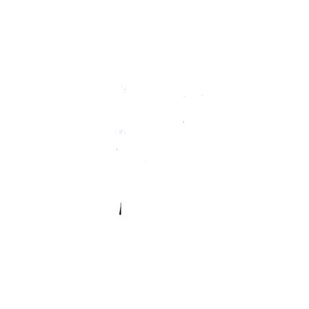 CC(=O)O[C@H]1CC[C@H](Nc2ccc(C)cc2N)CC1